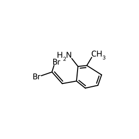 Cc1cccc(C=C(Br)Br)c1N